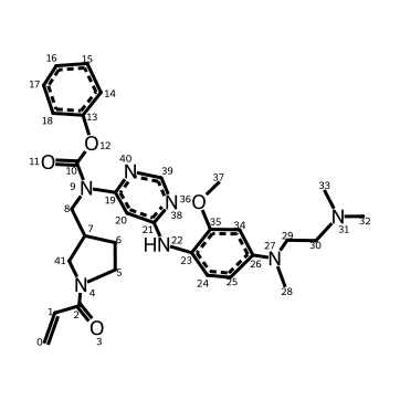 C=CC(=O)N1CCC(CN(C(=O)Oc2ccccc2)c2cc(Nc3ccc(N(C)CCN(C)C)cc3OC)ncn2)C1